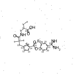 CCC(CNC(=O)C(C)(C)Cc1ccc(C(=O)Oc2ccc(C(=N)N)cc2F)s1)C(=O)O